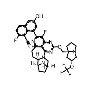 C#Cc1c(F)ccc2cc(O)cc(-c3nc4c5c(nc(OC[C@@]67CCCN6C[C@H](OC(F)(F)F)C7)nc5c3F)N3C[C@H]5CC[C@H](N5)[C@H]3CC4)c12